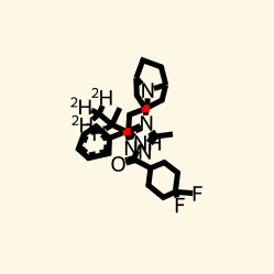 [2H]C([2H])([2H])C([2H])(C)c1nnc(C)n1C1CC2CCC(C1)N2CCC(NC(=O)C1CCC(F)(F)CC1)c1ccccc1